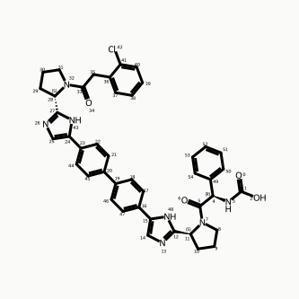 O=C(O)N[C@@H](C(=O)N1CCC[C@H]1c1ncc(-c2ccc(-c3ccc(-c4cnc([C@@H]5CCCN5C(=O)Cc5ccccc5Cl)[nH]4)cc3)cc2)[nH]1)c1ccccc1